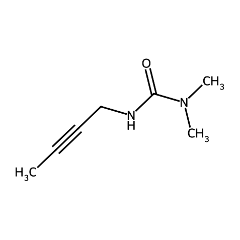 CC#CCNC(=O)N(C)C